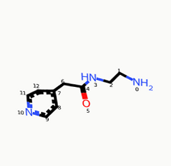 NCCNC(=O)Cc1ccncc1